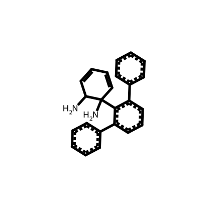 NC1C=CC=CC1(N)c1c(-c2ccccc2)cccc1-c1ccccc1